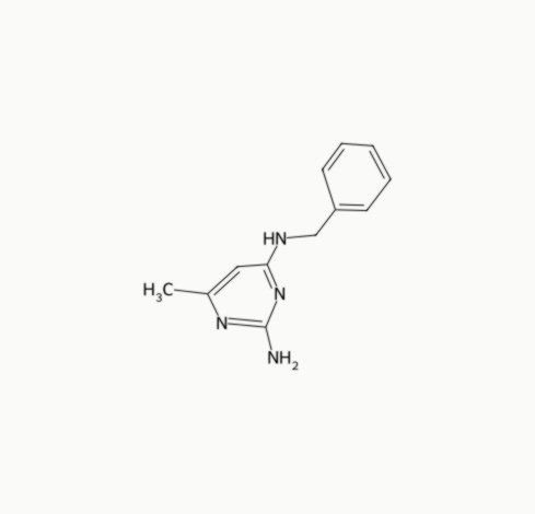 Cc1cc(NCc2ccccc2)nc(N)n1